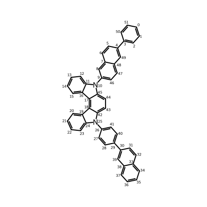 c1ccc(-c2ccc3cc(-n4c5ccccc5c5c6c7ccccc7n(-c7ccc(-c8ccc9ccccc9c8)cc7)c6ccc54)ccc3c2)cc1